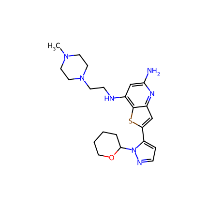 CN1CCN(CCNc2cc(N)nc3cc(-c4ccnn4C4CCCCO4)sc23)CC1